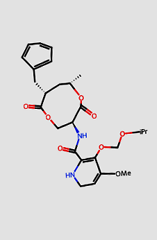 COC1=CCNC(C(=O)N[C@H]2COC(=O)[C@H](Cc3ccccc3)C[C@H](C)OC2=O)=C1OCOC(C)C